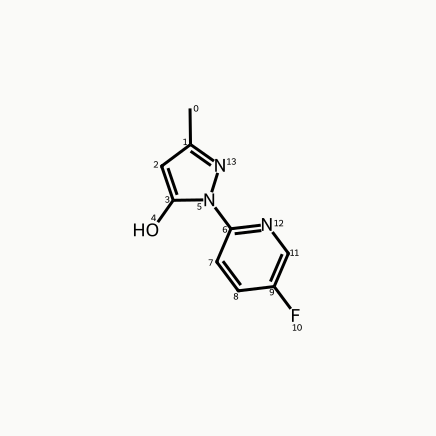 Cc1cc(O)n(-c2ccc(F)cn2)n1